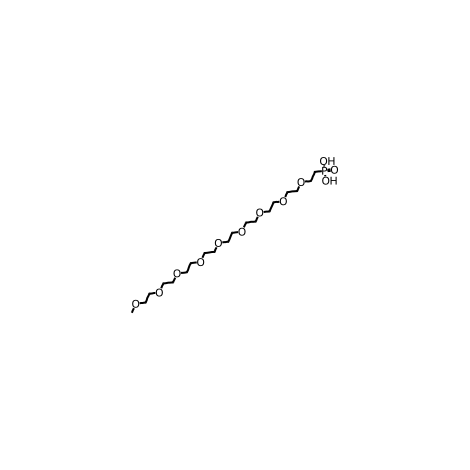 COCCOCCOCCOCCOCCOCCOCCOCCOCCP(=O)(O)O